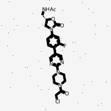 CC(=O)NC[C@H]1CN(c2ccc(-c3cnc(N4CCN(C(=O)CCl)CC4)nc3)c(F)c2)C(=O)O1